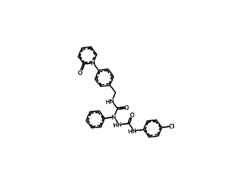 O=C(Nc1ccc(Cl)cc1)NN(C(=O)NCc1ccc(-n2ccccc2=O)cc1)c1ccccc1